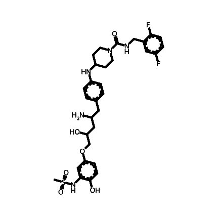 CS(=O)(=O)Nc1cc(OCC(O)CC(N)Cc2ccc(NC3CCN(C(=O)NCc4cc(F)ccc4F)CC3)cc2)ccc1O